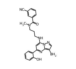 Bc1cnn2c(NCCCN(C)C(=O)c3cccc(C#N)c3)cc(-c3ccccc3O)nc12